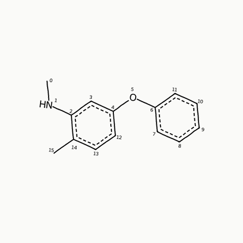 CNc1cc(Oc2ccccc2)ccc1C